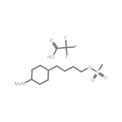 CNC1CCC(CCCCOS(C)(=O)=O)CC1.O=C(O)C(F)(F)F